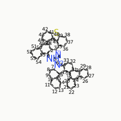 Nc1c(/C(=N\Cn2c3ccc4ccccc4c3c3c4c5ccccc5c5ccccc5c4ccc32)c2cccc3sc4ccccc4c23)ccc2ccccc12